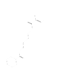 CC(=CC(=O)O)C(=O)OCCCCOC(=O)C1CCCCC1